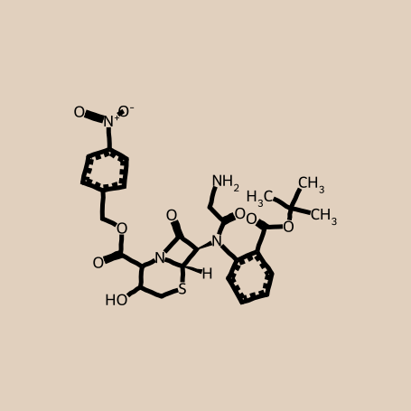 CC(C)(C)OC(=O)c1ccccc1N(C(=O)CN)[C@@H]1C(=O)N2C(C(=O)OCc3ccc([N+](=O)[O-])cc3)C(O)CS[C@@H]12